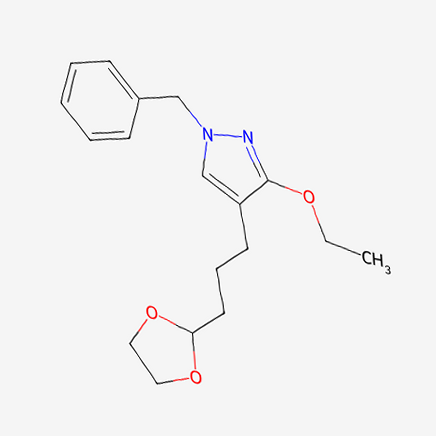 CCOc1nn(Cc2ccccc2)cc1CCCC1OCCO1